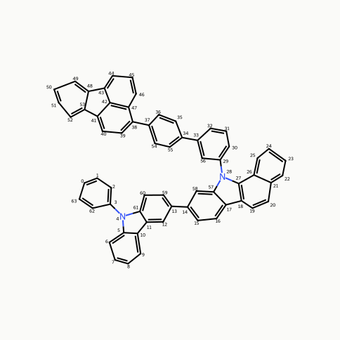 c1ccc(-n2c3ccccc3c3cc(-c4ccc5c6ccc7ccccc7c6n(-c6cccc(-c7ccc(-c8ccc9c%10c(cccc8%10)-c8ccccc8-9)cc7)c6)c5c4)ccc32)cc1